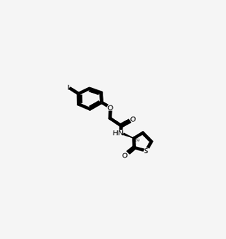 O=C(COc1ccc(I)cc1)N[C@H]1CCSC1=O